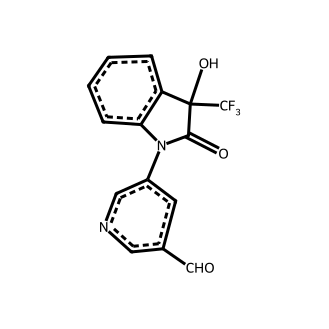 O=Cc1cncc(N2C(=O)C(O)(C(F)(F)F)c3ccccc32)c1